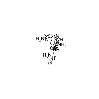 Nc1nc2c(-c3ccc(S(=O)(=O)NCCC(N)C(F)OC=O)c(S(N)(=O)=O)c3-c3nnn[nH]3)cccc2s1